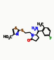 Cc1ccc(F)cc1C(N)[C@H]1CCC(=O)N1CCSc1nc(C(=O)O)cs1